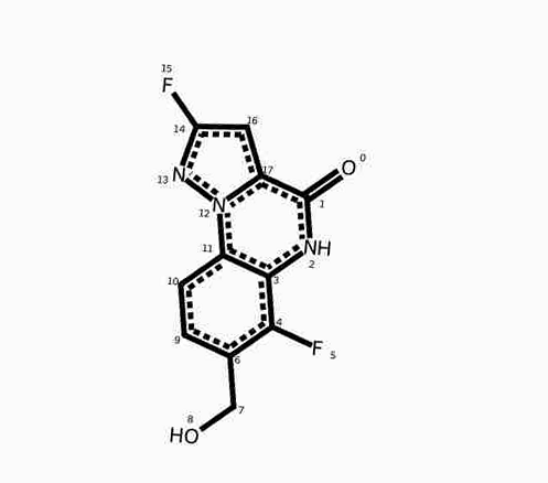 O=c1[nH]c2c(F)c(CO)ccc2n2nc(F)cc12